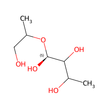 CC(CO)O[C@H](O)C(O)C(C)O